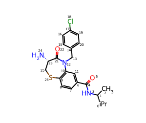 CC(C)C(C)NC(=O)c1ccc2c(c1)N(Cc1ccc(Cl)cc1)C(=O)[C@@H](N)CS2